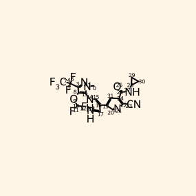 Cn1nc(C(F)(F)C(F)(F)F)c(OC(F)F)c1N/C=C(\C=N)c1cnc(C#N)c(C(=O)NC2CC2)c1